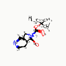 CC(C)(C)OC(=O)N1Cc2cnccc2C1=O